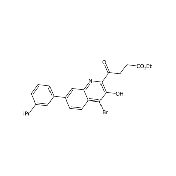 CCOC(=O)CCC(=O)c1nc2cc(-c3cccc(C(C)C)c3)ccc2c(Br)c1O